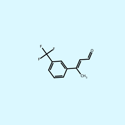 CC(=CC=O)c1cccc(C(F)(F)F)c1